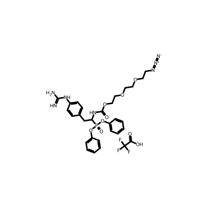 O=C(O)C(F)(F)F.[N-]=[N+]=NCCOCCOCCOC(=O)NC(Cc1ccc(NC(=N)N)cc1)P(=O)(Oc1ccccc1)Oc1ccccc1